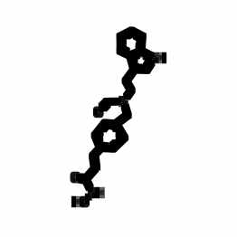 O=CN(CCc1c[nH]c2ccccc12)Cc1ccc(/C=C/C(=O)NO)cc1